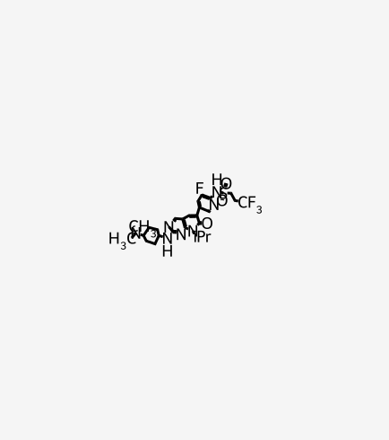 CC(C)n1c(=O)c(-c2cnc(NS(=O)(=O)CCC(F)(F)F)c(F)c2)cc2cnc(NC3CCC(N(C)C)CC3)nc21